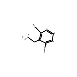 [SiH3]Cc1c(I)cccc1I